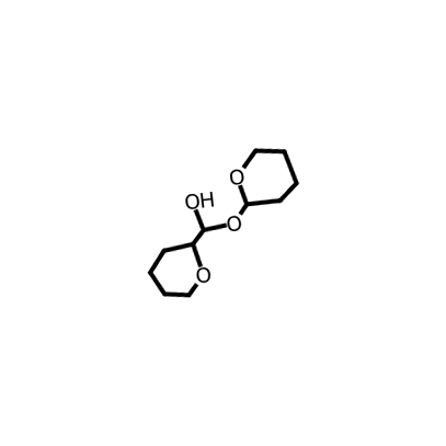 OC(OC1CCCCO1)C1CCCCO1